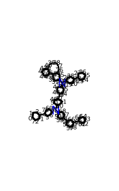 c1ccc(-c2ccc(N(c3ccc(-c4ccc(N(c5ccc(-c6ccccc6)cc5)c5ccc6c(c5)CCCCCc5ccccc5-6)cc4)cc3)c3ccc(-c4cccc(-c5ccccc5)c4)cc3)cc2)cc1